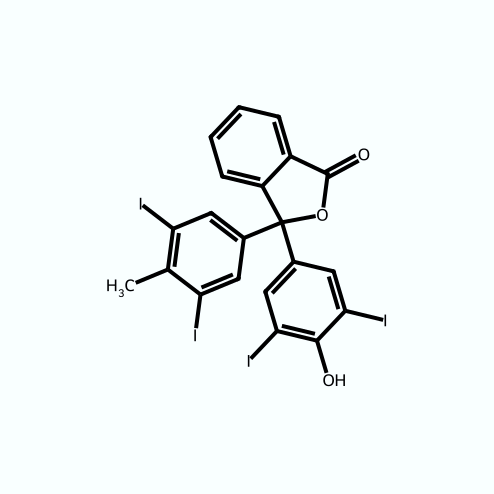 Cc1c(I)cc(C2(c3cc(I)c(O)c(I)c3)OC(=O)c3ccccc32)cc1I